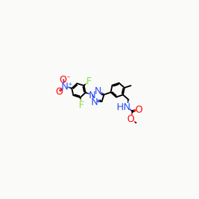 COC(=O)NCc1cc(-c2cnn(-c3c(F)cc([N+](=O)[O-])cc3F)n2)ccc1C